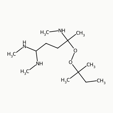 CCC(C)(C)OOC(C)(CCC(NC)NC)NC